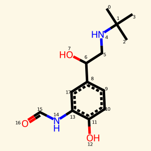 CC(C)(C)NCC(O)c1ccc(O)c(NC=O)c1